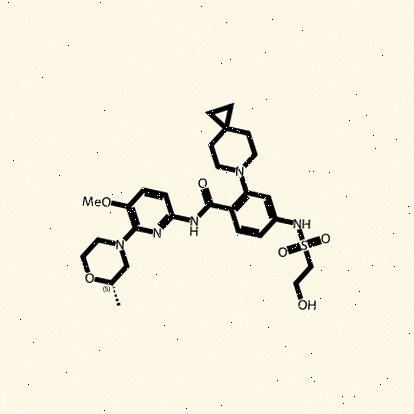 COc1ccc(NC(=O)c2ccc(NS(=O)(=O)CCO)cc2N2CCC3(CC2)CC3)nc1N1CCO[C@@H](C)C1